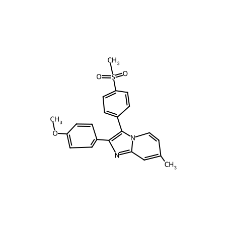 COc1ccc(-c2nc3cc(C)ccn3c2-c2ccc(S(C)(=O)=O)cc2)cc1